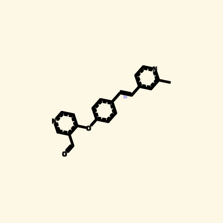 Cc1cc(/C=C/c2ccc(Oc3ccncc3C=O)cc2)ccn1